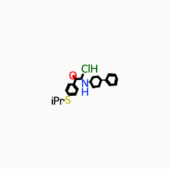 CC(C)Sc1ccc(C(=O)C(C)N[C@H]2CC[C@H](c3ccccc3)CC2)cc1.Cl